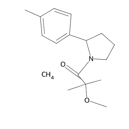 C.COC(C)(C)C(=O)N1CCCC1c1ccc(C)cc1